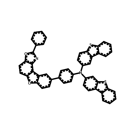 c1ccc(-c2nc3c(ccc4oc5ccc(-c6ccc(N(c7ccc8c(c7)sc7ccccc78)c7ccc8sc9ccccc9c8c7)cc6)cc5c43)o2)cc1